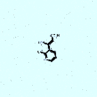 NC(=CC(=O)O)c1cccnc1Cl